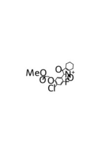 COC(=O)COc1cc(C2C(=O)C3=C(CCCC3)[N+]2=O)c(F)cc1Cl